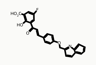 O=C(O)c1cc(F)cc(C(=O)C=Cc2ccc(OCc3ccc4ccccc4n3)cc2)c1O